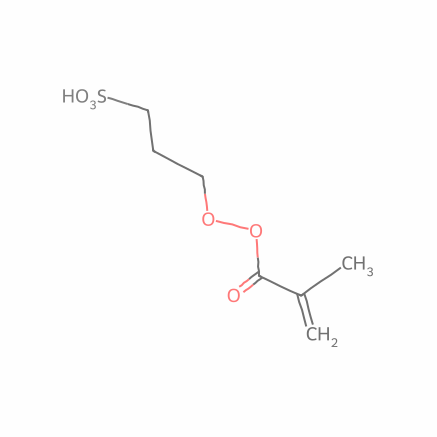 C=C(C)C(=O)OOCCCS(=O)(=O)O